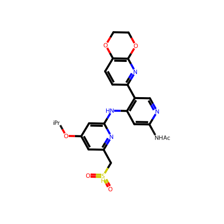 CC(=O)Nc1cc(Nc2cc(OC(C)C)cc(C[SH](=O)=O)n2)c(-c2ccc3c(n2)OCCO3)cn1